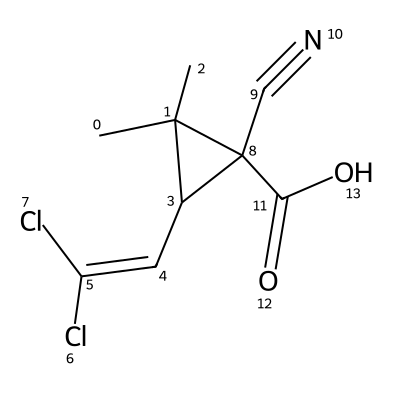 CC1(C)C(C=C(Cl)Cl)C1(C#N)C(=O)O